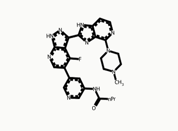 CCCC(=O)Nc1cncc(-c2cnc3[nH]nc(-c4nc5c(N6CCN(C)CC6)nccc5[nH]4)c3c2F)c1